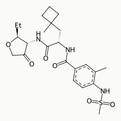 CC[C@@H]1OCC(=O)[C@H]1NC(=O)[C@H](CC1(C)CCC1)NC(=O)c1ccc(NS(C)(=O)=O)c(C)c1